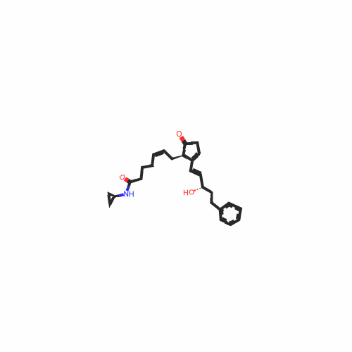 O=C(CCC/C=C\C[C@H]1C(=O)CC=C1/C=C/[C@@H](O)CCc1ccccc1)NC1CC1